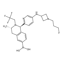 C[C@H]1Cc2cc(B(O)O)ccc2[C@H](c2ccc(NC3CN(CCCF)C3)cn2)N1CC(F)(F)F